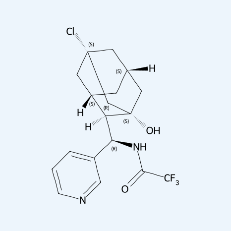 O=C(N[C@@H](c1cccnc1)[C@H]1[C@H]2C[C@@H]3C[C@](Cl)(C2)C[C@@]1(O)C3)C(F)(F)F